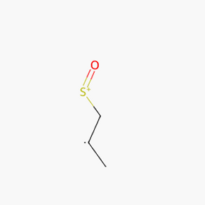 C[CH]C[S+]=O